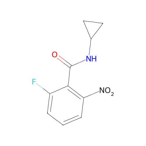 O=C(NC1CC1)c1c(F)cccc1[N+](=O)[O-]